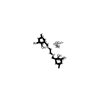 CC(=O)[O-].CC(=O)[O-].Cc1cc(C=NCCN=Cc2cc(C)cc(C(C)C)c2O)c(O)c(C(C)C)c1.[Co+2]